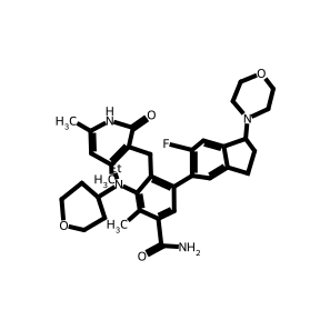 CCN(c1c(C)c(C(N)=O)cc(-c2cc3c(cc2F)C(N2CCOCC2)CC3)c1Cc1c(C)cc(C)[nH]c1=O)C1CCOCC1